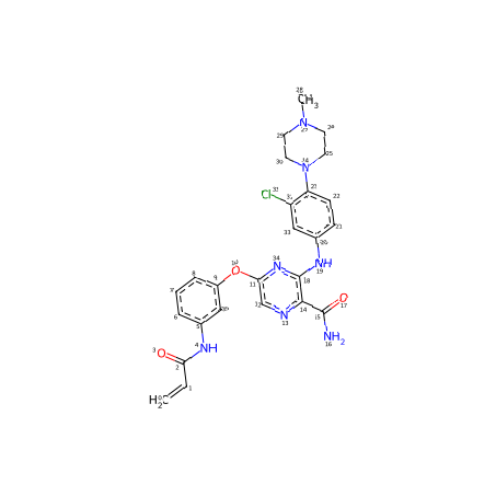 C=CC(=O)Nc1cccc(Oc2cnc(C(N)=O)c(Nc3ccc(N4CCN(C)CC4)c(Cl)c3)n2)c1